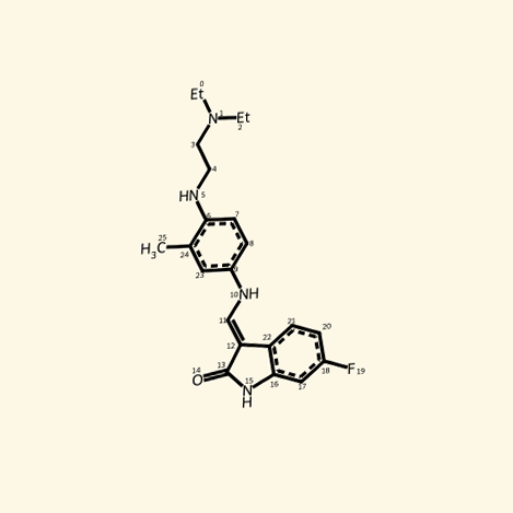 CCN(CC)CCNc1ccc(N/C=C2/C(=O)Nc3cc(F)ccc32)cc1C